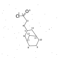 O=C(Cl)CCC1CC2CCCC(C2)C1